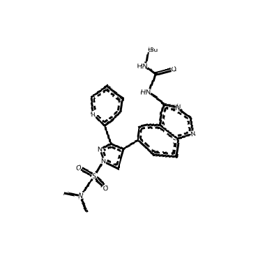 CN(C)S(=O)(=O)n1cc(-c2ccc3ncnc(NC(=O)NC(C)(C)C)c3c2)c(-c2ccccn2)n1